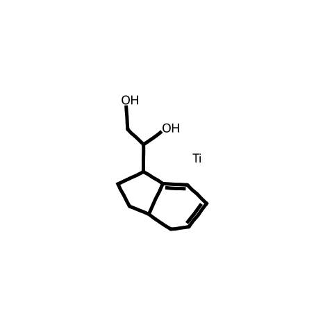 OCC(O)C1CCC2CC=CC=C21.[Ti]